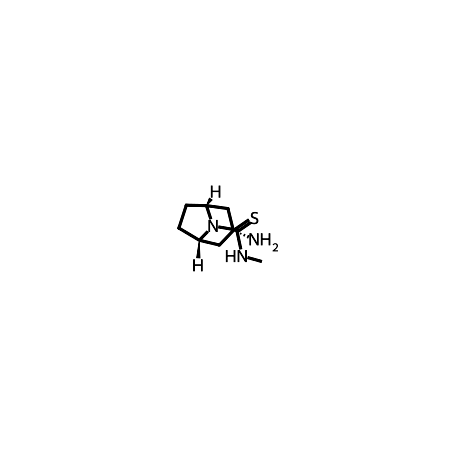 CNC(=S)N1[C@@H]2CC[C@H]1C[C@@H](N)C2